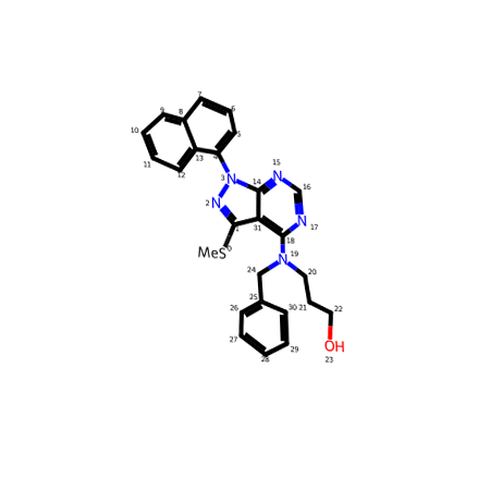 CSc1nn(-c2cccc3ccccc23)c2ncnc(N(CCCO)Cc3ccccc3)c12